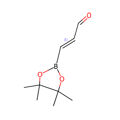 CC1(C)OB(/C=C/C=O)OC1(C)C